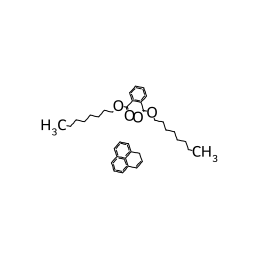 C1=Cc2cccc3cccc(c23)C1.CCCCCCCCOC(=O)c1ccccc1C(=O)OCCCCCCCC